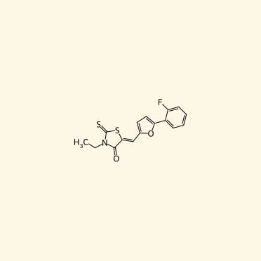 CCN1C(=O)C(=Cc2ccc(-c3ccccc3F)o2)SC1=S